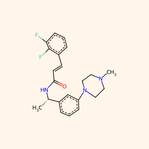 C[C@H](NC(=O)C=Cc1cccc(F)c1F)c1cccc(N2CCN(C)CC2)c1